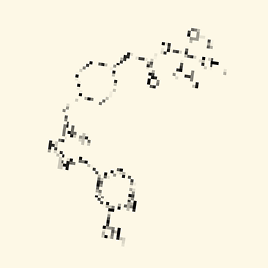 Cc1cc(-c2nnn(C[C@H]3CC[C@H](CC(=O)OC(C)(C)C)CC3)n2)ccn1